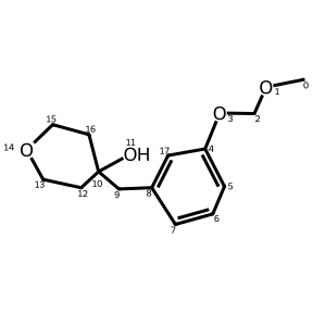 COCOc1cccc(CC2(O)CCOCC2)c1